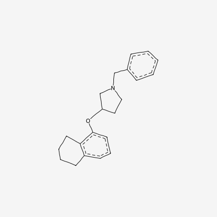 c1ccc(CN2CCC(Oc3cccc4c3CCCC4)C2)cc1